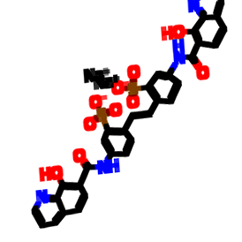 O=C(Nc1ccc(C=Cc2ccc(NC(=O)c3ccc4cccnc4c3O)cc2S(=O)(=O)[O-])c(S(=O)(=O)[O-])c1)c1ccc2cccnc2c1O.[Na+].[Na+]